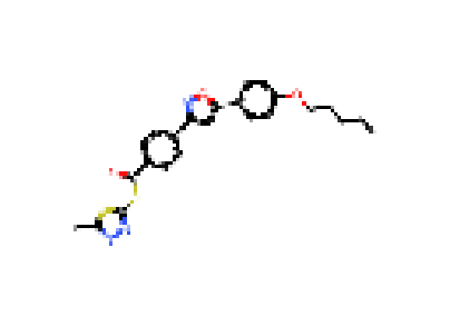 CCCCCOc1ccc(-c2cc(-c3ccc(C(=O)Sc4nnc(C)s4)cc3)no2)cc1